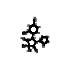 CCC1(CC)C(=O)C(n2cncn2)N(c2ccc(Cl)cc2Cl)C1=O